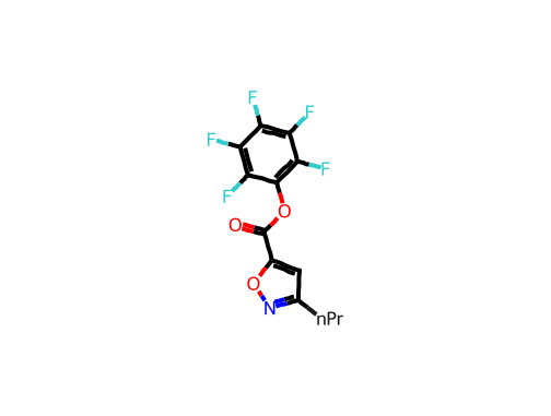 CCCc1cc(C(=O)Oc2c(F)c(F)c(F)c(F)c2F)on1